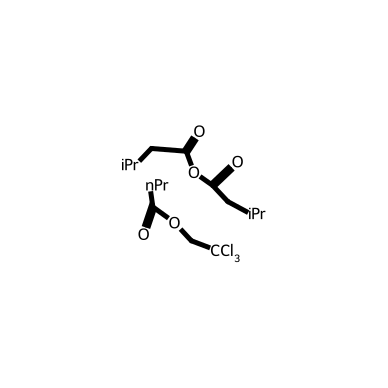 CC(C)CC(=O)OC(=O)CC(C)C.CCCC(=O)OCC(Cl)(Cl)Cl